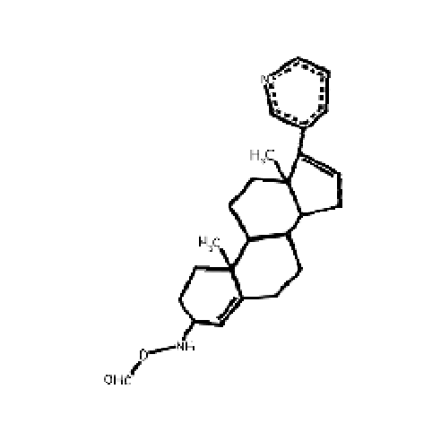 CC12CCC(NOC=O)C=C1CCC1C2CCC2(C)C(c3cccnc3)=CCC12